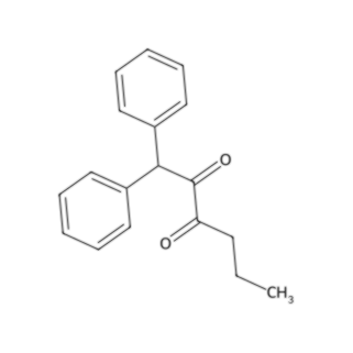 CCCC(=O)C(=O)C(c1ccccc1)c1ccccc1